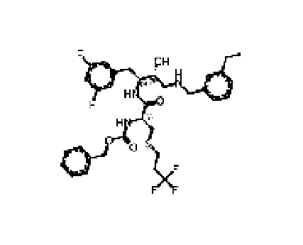 CCc1cccc(CNC[C@@H](O)[C@H](Cc2cc(F)cc(F)c2)NC(=O)[C@@H](CSCCC(F)(F)F)NC(=O)OCc2ccccc2)c1